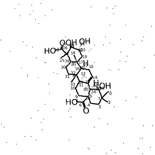 CC1(C)CC[C@]2(C(=O)O)CC[C@]3(C)C(=CC[C@@H]4[C@@]5(C)C[C@@H](O)[C@H](O)C(C)(C(=O)O)C5CC[C@]43C)[C@H]2[C@H]1O